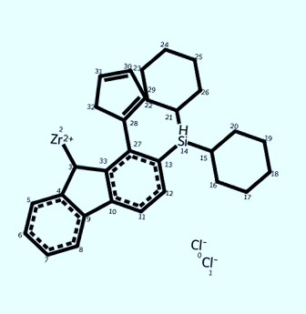 [Cl-].[Cl-].[Zr+2][CH]1c2ccccc2-c2ccc([SiH](C3CCCCC3)C3CCCCC3)c(C3=CC=CC3)c21